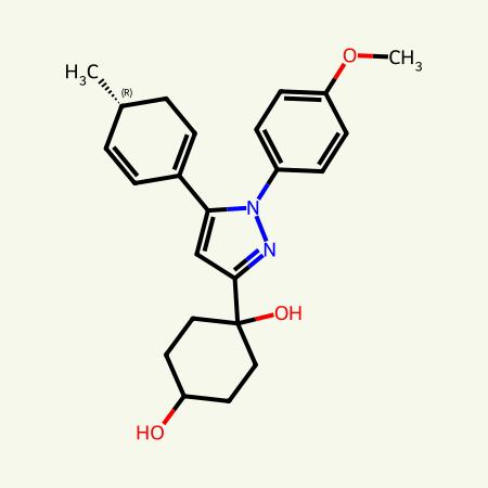 COc1ccc(-n2nc(C3(O)CCC(O)CC3)cc2C2=CC[C@@H](C)C=C2)cc1